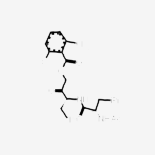 CC(=O)N[C@@H](CC(C)C)C(=O)N[C@@H](CC(C)C)C(=O)COC(=O)c1c(C(F)(F)F)cccc1C(F)(F)F